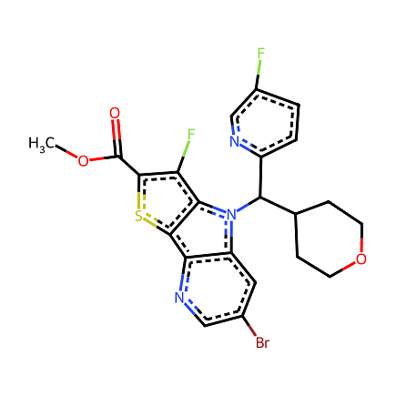 COC(=O)c1sc2c3ncc(Br)cc3n(C(c3ccc(F)cn3)C3CCOCC3)c2c1F